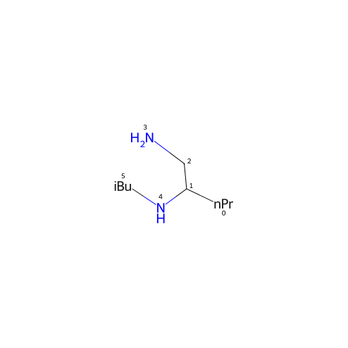 CCCC(CN)NC(C)CC